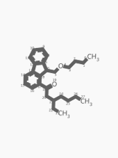 CCCCOCC1c2ccccc2-c2cccc(C(=O)CC(CC)CCCC)c21